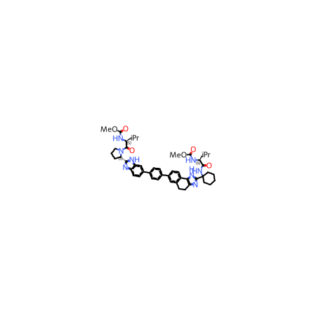 COC(=O)N[C@H](C(=O)NC1(c2nc3c([nH]2)-c2ccc(-c4ccc(-c5ccc6nc([C@@H]7CCCN7C(=O)[C@@H](NC(=O)OC)C(C)C)[nH]c6c5)cc4)cc2CC3)CCCCC1)C(C)C